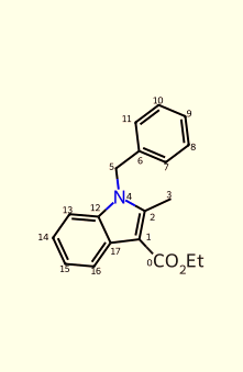 CCOC(=O)c1c(C)n(Cc2ccccc2)c2ccccc12